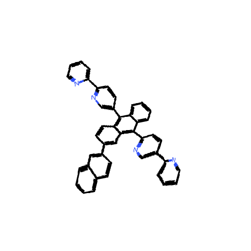 c1ccc(-c2ccc(-c3c4ccccc4c(-c4ccc(-c5ccccn5)nc4)c4ccc(-c5ccc6ccccc6c5)cc34)nc2)nc1